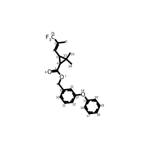 CC(=CC1C(C(=O)OCc2cccc(Oc3ccccc3)c2)C1(C)C)C(F)(F)F